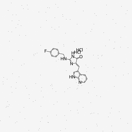 Cl.Cl.O=C1NC(NCc2ccc(F)cc2)=NC1=Cc1c[nH]c2ncccc12